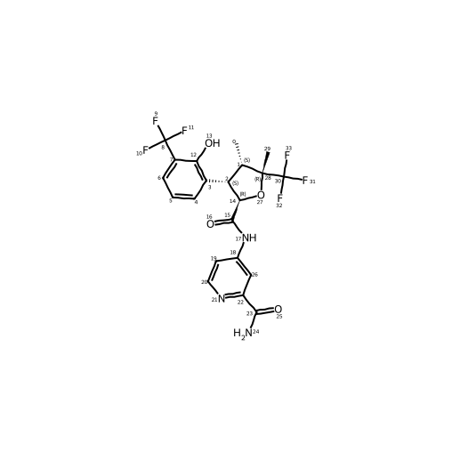 C[C@H]1[C@@H](c2cccc(C(F)(F)F)c2O)[C@H](C(=O)Nc2ccnc(C(N)=O)c2)O[C@@]1(C)C(F)(F)F